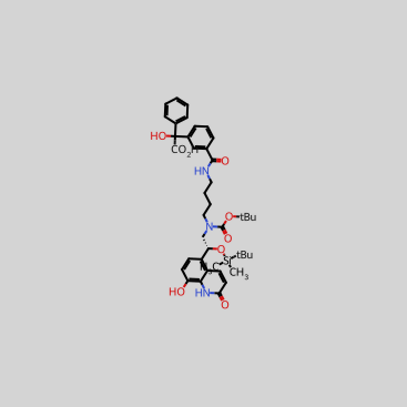 CC(C)(C)OC(=O)N(CCCCNC(=O)c1cccc(C(O)(C(=O)O)c2ccccc2)c1)C[C@H](O[Si](C)(C)C(C)(C)C)c1ccc(O)c2[nH]c(=O)ccc12